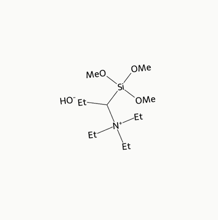 CCC([N+](CC)(CC)CC)[Si](OC)(OC)OC.[OH-]